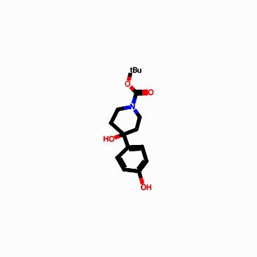 CC(C)(C)OC(=O)N1CCC(O)(c2ccc(O)cc2)CC1